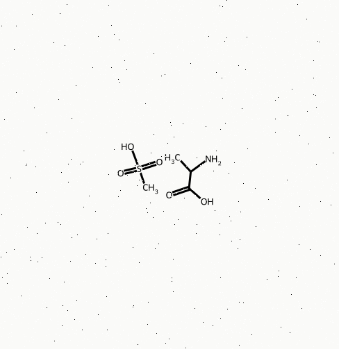 CC(N)C(=O)O.CS(=O)(=O)O